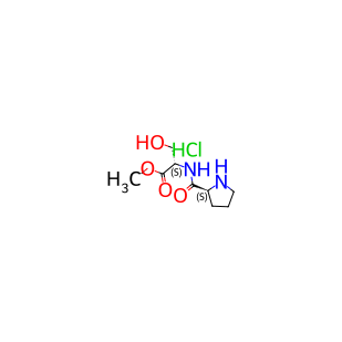 COC(=O)[C@H](CO)NC(=O)[C@@H]1CCCN1.Cl